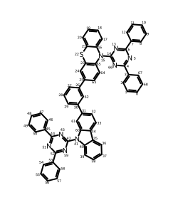 c1ccc(-c2nc(-c3ccccc3)nc(N3c4ccccc4Sc4cc(-c5cccc(-c6ccc7c8ccccc8n(-c8nc(-c9ccccc9)nc(-c9ccccc9)n8)c7c6)c5)ccc43)n2)cc1